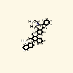 C=Cc1c(C=C)c(-c2ccc3ccccc3c2)c2ccccc2c1-c1ccc(-c2nc3ccccc3n2/C(C)=C/C)cc1